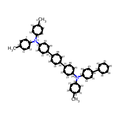 Cc1ccc(N(c2ccc(C)cc2)c2ccc(-c3ccc(-c4ccc(N(c5ccc(C)cc5)c5ccc(-c6ccccc6)cc5)cc4)cc3)cc2)cc1